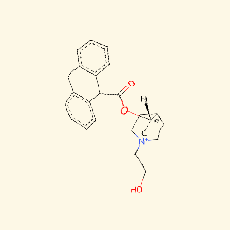 O=C(O[C@H]1C[N+]2(CCO)CCC1CC2)C1c2ccccc2Cc2ccccc21